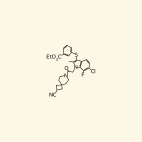 CCOC(=O)c1cccc(Sc2c(C)n(CC(=O)N3CCC4(CC3)CC(C#N)C4)c3c(F)c(Cl)ccc23)c1